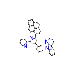 c1ccc(-c2cc(-c3cccc(-n4c5ccccc5c5cccnc54)c3)cc(-c3ccc4ccc5cccc6ccc3c4c56)n2)nc1